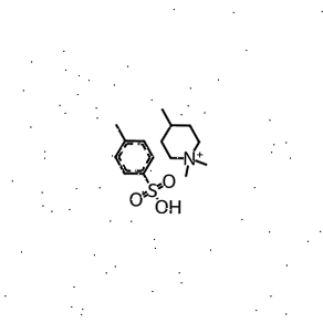 CC1CC[N+](C)(C)CC1.Cc1ccc(S(=O)(=O)O)cc1